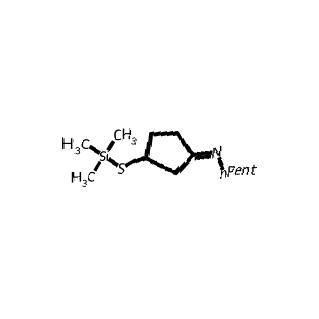 CCCCCN=C1CCC(S[Si](C)(C)C)C1